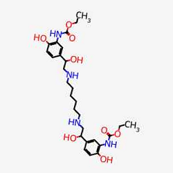 CCOC(=O)Nc1cc(C(O)CNCCCCCCNCC(O)c2ccc(O)c(NC(=O)OCC)c2)ccc1O